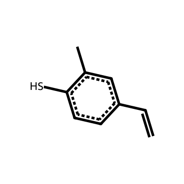 C=Cc1ccc(S)c(C)c1